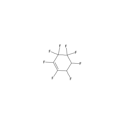 FC1=C(F)C(F)(F)C(F)(F)C(F)C1F